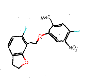 COc1cc(F)c([N+](=O)[O-])cc1OCc1c(F)ccc2c1OCC2